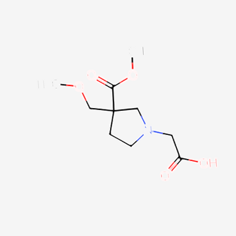 COCC1(C(=O)OC)CCN(CC(=O)O)C1